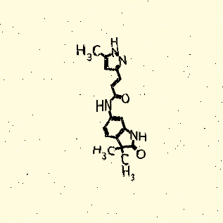 Cc1cc(C=CC(=O)Nc2ccc3c(c2)NC(=O)C3(C)C)n[nH]1